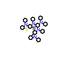 c1ccc(N(c2ccccc2)c2cc3c4c(c2)N(c2ccccc2)c2cc5c(cc2B4c2cc4c(cc2N3c2ccccc2)N(c2ccccc2)c2ccccc2S4)c2ccccc2n5-c2ccccc2)cc1